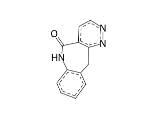 O=C1Nc2ccccc2Cc2nnccc21